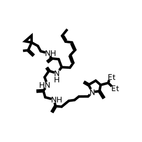 C=C(CCCCCN1C(=C)CC(C(CC)CC)C1=C)NCC(=C)NCC(=C)NC(C/C=C/C=C\C=C/C)CC(=C)NCCC1(C(=C)C)CC1